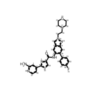 Nc1cc(-c2nc(C(=O)Nc3cc4cn(CCN5CCOCC5)nc4cc3-c3ccc(F)cc3)cs2)ccn1